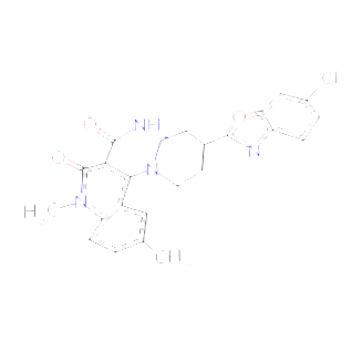 Cc1ccc2c(c1)c(N1CCC(c3nc4ccc(Cl)cc4o3)CC1)c(C(N)=O)c(=O)n2C